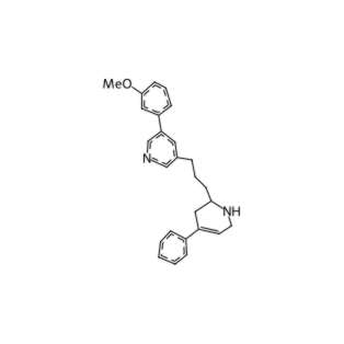 COc1cccc(-c2cncc(CCCC3CC(c4ccccc4)=CCN3)c2)c1